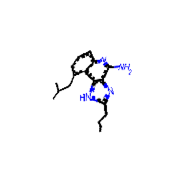 CCCc1nc2c(N)nc3cccc(CC(C)C)c3c2[nH]1